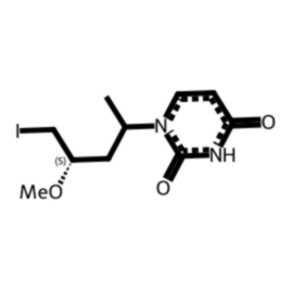 CO[C@H](CI)CC(C)n1ccc(=O)[nH]c1=O